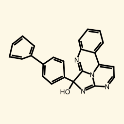 OC1(c2ccc(-c3ccccc3)cc2)N=C2N=CC=C3c4ccccc4N=C1N32